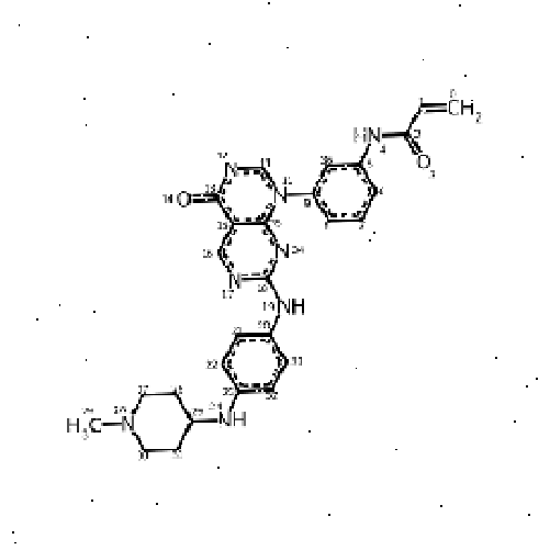 C=CC(=O)Nc1cccc(-n2cnc(=O)c3cnc(Nc4ccc(NC5CCN(C)CC5)cc4)nc32)c1